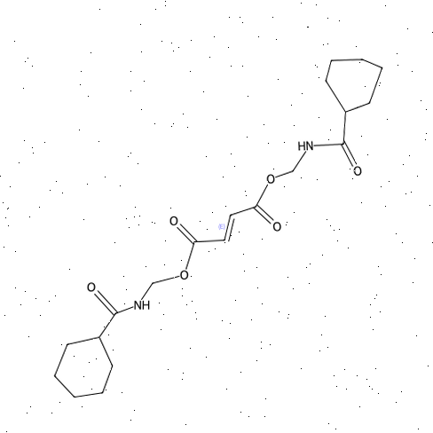 O=C(/C=C/C(=O)OCNC(=O)C1CCCCC1)OCNC(=O)C1CCCCC1